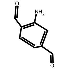 Nc1cc(C=O)ccc1C=O